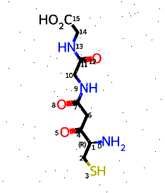 N[C@@H](CS)C(=O)CC(=O)NCC(=O)NCC(=O)O